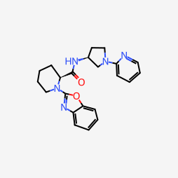 O=C(N[C@H]1CCN(c2ccccn2)C1)[C@@H]1CCCCN1c1nc2ccccc2o1